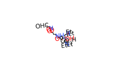 CCN(CC)C1=CC/C(=C(\c2ccc(N(CC)CC)cc2O)c2ccc(C(=O)NCCCCCC(=O)ON(C)C(=O)CCC=O)cc2C(=O)O)C=C1